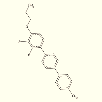 CCCOc1ccc(-c2ccc(-c3ccc(C)cc3)cc2)c(F)c1F